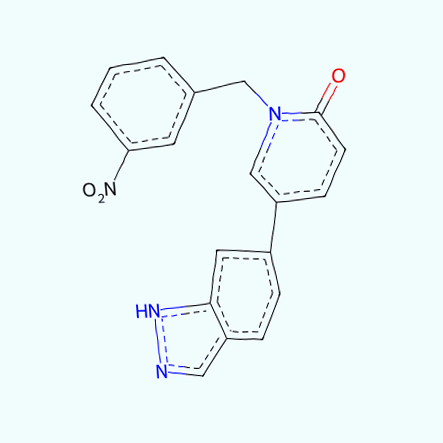 O=c1ccc(-c2ccc3cn[nH]c3c2)cn1Cc1cccc([N+](=O)[O-])c1